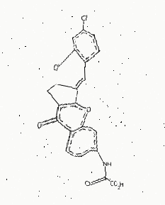 O=C(O)C(=O)Nc1ccc2c(=O)c3c(oc2c1)C(=Cc1ccc(Cl)cc1Cl)CC3